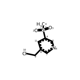 CS(=O)(=O)c1cncc(CCl)c1